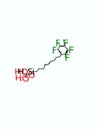 OC(O)O[SiH2]CCCCCCCCCc1c(F)c(F)c(F)c(F)c1F